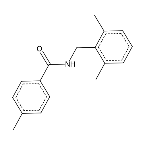 Cc1ccc(C(=O)NCc2c(C)cccc2C)cc1